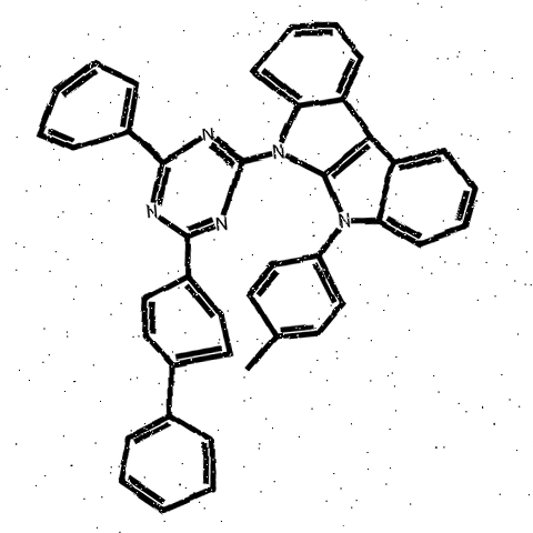 Cc1ccc(-n2c3ccccc3c3c4ccccc4n(-c4nc(-c5ccccc5)nc(-c5ccc(-c6ccccc6)cc5)n4)c32)cc1